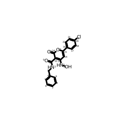 O=C(NCc1ccccc1)c1c(NO)cc(-c2ccc(Cl)cc2)oc1=O